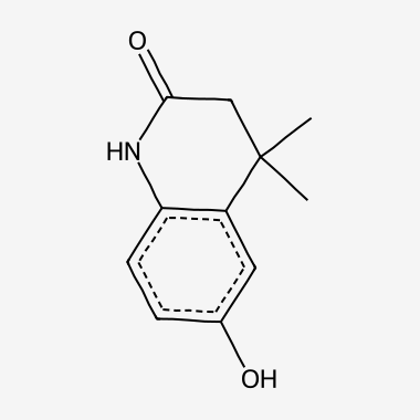 CC1(C)CC(=O)Nc2ccc(O)cc21